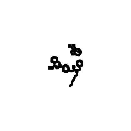 CCCCCCN(Cc1ccccc1)C(=O)Cc1ccc(OCc2ccccc2C(=O)O)cc1.NC12CC3CC(CC(C3)C1)C2